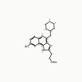 COCCc1nc2c(CC3CCOCC3)nc3ccc(Br)cc3c2[nH]1